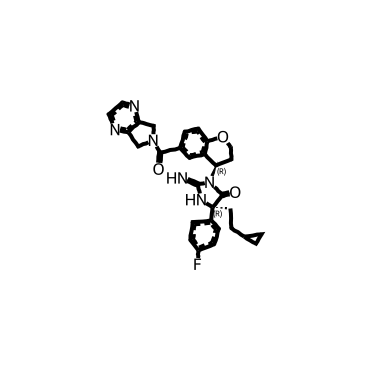 N=C1N[C@](CCC2CC2)(c2ccc(F)cc2)C(=O)N1[C@@H]1CCOc2ccc(C(=O)N3Cc4nccnc4C3)cc21